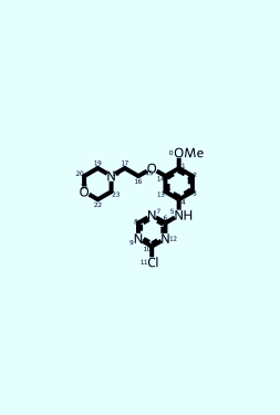 COc1ccc(Nc2ncnc(Cl)n2)cc1OCCN1CCOCC1